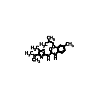 Cc1ccc(NC(=O)Nc2nc(N(C)C)c(C)s2)c(OCC(C)C)c1